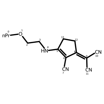 CCCOCCNC1=C(C#N)C(=C(C#N)C#N)CC1